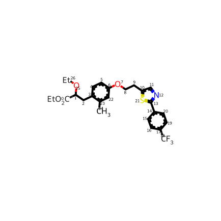 CCOC(=O)C(Cc1ccc(OCCc2cnc(-c3ccc(C(F)(F)F)cc3)s2)cc1C)OCC